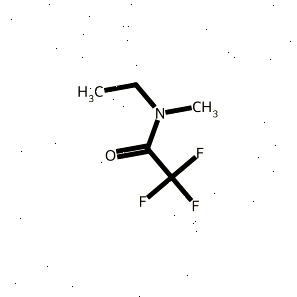 CCN(C)C(=O)C(F)(F)F